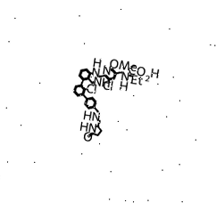 CCC(NCc1cc(Cl)c(CNc2cccc(-c3cccc(-c4ccc(CNCC5CCC(=O)N5)cc4)c3Cl)c2C=N)nc1OC)C(=O)O